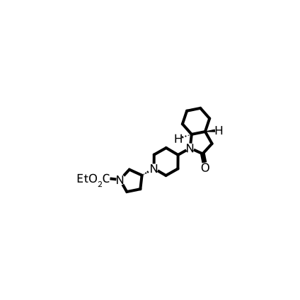 CCOC(=O)N1CC[C@@H](N2CCC(N3C(=O)C[C@H]4CCCC[C@@H]43)CC2)C1